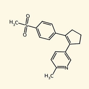 Cc1ccc(C2=C(c3ccc(S(C)(=O)=O)cc3)CCC2)cn1